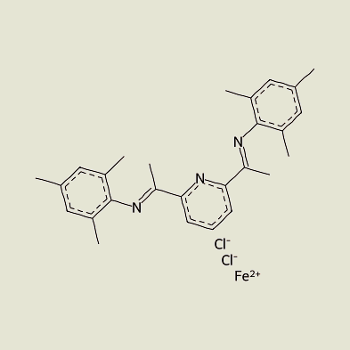 CC(=Nc1c(C)cc(C)cc1C)c1cccc(C(C)=Nc2c(C)cc(C)cc2C)n1.[Cl-].[Cl-].[Fe+2]